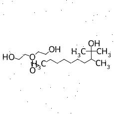 C1CO1.CCCCCCCC(C)C(C)(C)O.OCCOCCO